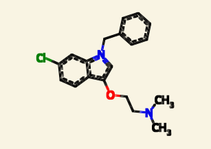 CN(C)CCOc1cn(Cc2ccccc2)c2cc(Cl)ccc12